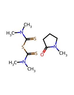 CN(C)C(=S)SC(=S)N(C)C.CN1CCCC1=O